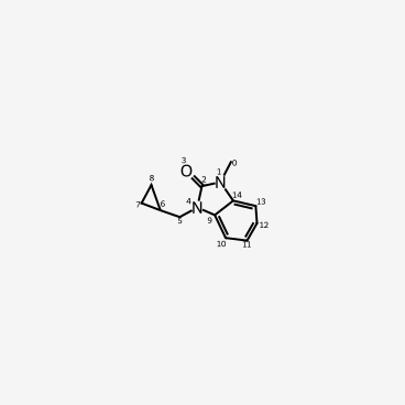 Cn1c(=O)n(CC2CC2)c2ccccc21